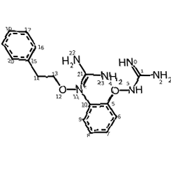 N=C(N)NOc1ccccc1[N+](OCCc1ccccc1)=C(N)N